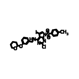 Cc1ccc(S(=O)(=O)n2cc(I)c3c(NCc4cccc(OC5CCCCO5)c4)nc(Cl)nc32)cc1